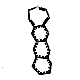 C1=NCC=c2cc3cc4ccccc4cc3cc2=C1